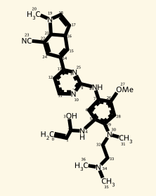 C=CC(O)Nc1cc(Nc2nccc(C3=CC4C=CN(C)C4C(C#N)=C3)n2)c(OC)cc1N(C)CCN(C)C